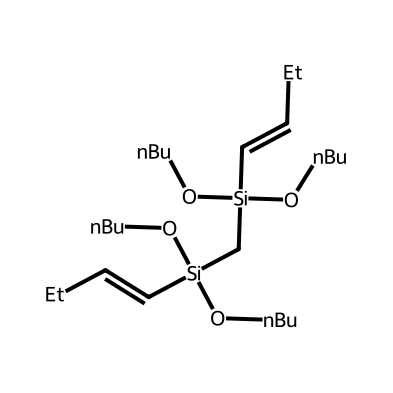 CCC=C[Si](C[Si](C=CCC)(OCCCC)OCCCC)(OCCCC)OCCCC